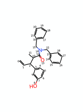 C=CC(c1cccc(O)c1)C(C)C(=O)N(Cc1ccccc1)Cc1ccccc1